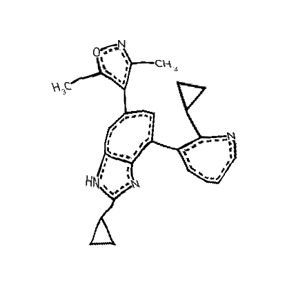 Cc1noc(C)c1-c1cc(-c2cccnc2C2CC2)c2nc(C3CC3)[nH]c2c1